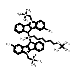 Cc1ccc2c(c1)c1c(n2C[Si](C)(C)C)-c2ccccc2C1[Si](C)(CCCCCCOC(C)(C)C)C1c2ccccc2-c2c1c1cc(C)ccc1n2C[Si](C)(C)C